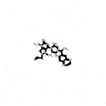 CC(c1ccc2nccnc2c1)N1C[C@H](C)N(c2nc(=O)n(C)c3c2N(C)N(CC#N)C3)C[C@H]1C